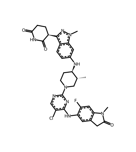 C[C@@H]1CN(c2ncc(Cl)c(Nc3cc4c(cc3F)N(C)C(=O)C4)n2)CC[C@H]1Nc1ccc2c([C@@H]3CCC(=O)NC3=O)nn(C)c2c1